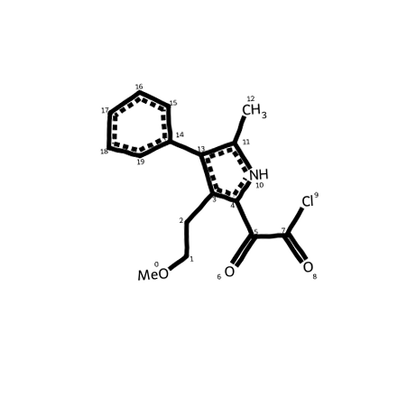 COCCc1c(C(=O)C(=O)Cl)[nH]c(C)c1-c1ccccc1